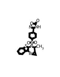 CC(C1CC1)N(c1sc2ccccc2c1Br)S(=O)(=O)c1ccc(-c2noc(=O)[nH]2)cc1